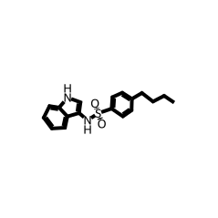 CCCCc1ccc(S(=O)(=O)Nc2c[nH]c3ccccc23)cc1